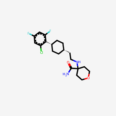 NC(=O)C1(NCC[C@H]2CC[C@@H](c3c(F)cc(F)cc3Cl)CC2)CCOCC1